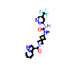 CN(C(=O)Nc1cc(C(F)(F)F)cnn1)C1CC2(C1)CN(C(=O)c1cnn3ccccc13)C2